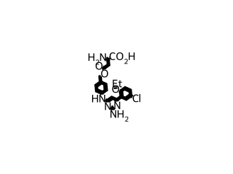 CCOc1ccc(Cl)cc1-c1cc(Nc2ccc(COC(=O)C[C@H](N)C(=O)O)cc2)nc(N)n1